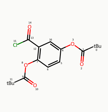 CC(C)(C)C(=O)Oc1ccc(OC(=O)C(C)(C)C)c(C(=O)Cl)c1